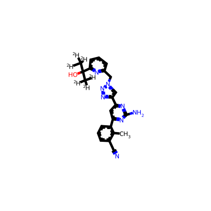 [2H]C([2H])([2H])C(O)(c1cccc(Cn2cc(-c3cc(-c4cccc(C#N)c4C)nc(N)n3)nn2)n1)C([2H])([2H])[2H]